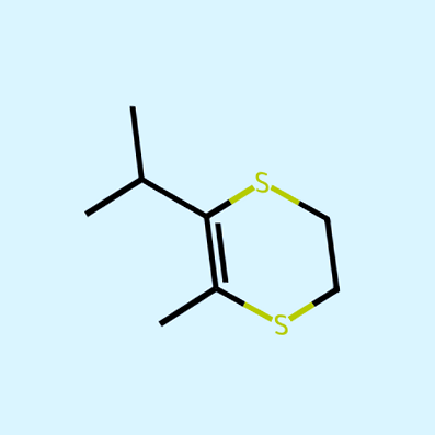 CC1=C(C(C)C)SCCS1